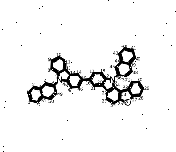 c1ccc2cc(-n3c4ccccc4c4cc(-c5ccc6c(c5)c5ccc7oc8ccccc8c7c5n6-c5ccc6ccccc6c5)ccc43)ccc2c1